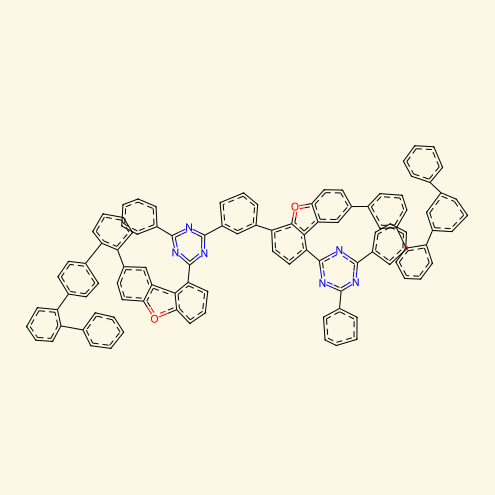 c1ccc(-c2cccc(-c3ccccc3-c3cccc(-c4ccc5oc6c(-c7cccc(-c8nc(-c9ccccc9)nc(-c9cccc%10oc%11ccc(-c%12ccccc%12-c%12ccc(-c%13ccccc%13-c%13ccccc%13)cc%12)cc%11c9%10)n8)c7)ccc(-c7nc(-c8ccccc8)nc(-c8ccccc8)n7)c6c5c4)c3)c2)cc1